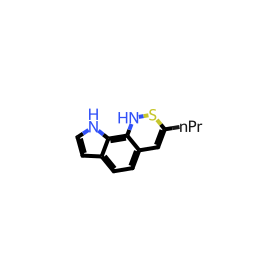 CCCC1=Cc2ccc3cc[nH]c3c2NS1